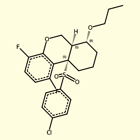 CCCO[C@@H]1CCC[C@@]2(S(=O)(=O)c3ccc(Cl)cc3)c3c(F)ccc(F)c3OC[C@@H]12